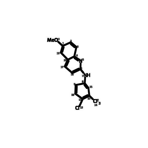 COc1ccc2nc(Nc3ccc(Cl)c(C(F)(F)F)c3)ccc2c1